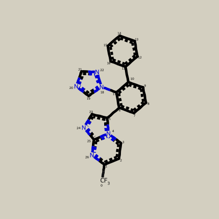 FC(F)(F)c1ccn2c(-c3cccc(-c4ccccc4)c3-n3cncn3)cnc2n1